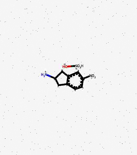 NC1Cc2ccc([N+](=O)[O-])cc2C1.O=S(=O)(O)O